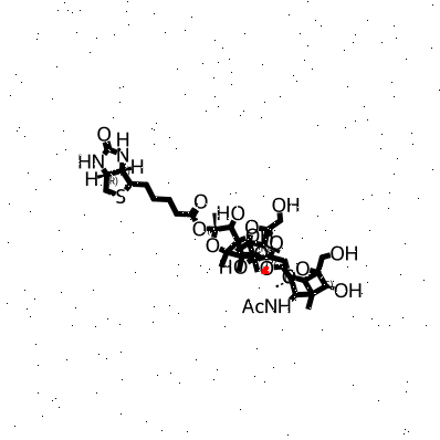 CC(=O)NC1C2(C)C(OC[C@]3(C)OC4(CO)OC(C)(C3(C)O)[C@@]4(C)O)C(CO)(O[C@]1(C)COCC1(C)C3(C)O[C@](C)(OC(=O)CCCCC4SC[C@@H]5NC(=O)N[C@H]45)C(O)C13O)[C@H]2O